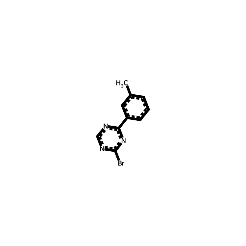 Cc1cccc(-c2ncnc(Br)n2)c1